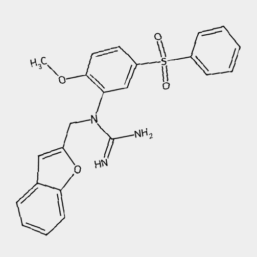 COc1ccc(S(=O)(=O)c2ccccc2)cc1N(Cc1cc2ccccc2o1)C(=N)N